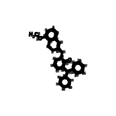 COc1cccc2c1CCC(Cn1cccc(C(c3ccccc3)c3ccccc3)c1=O)=C2